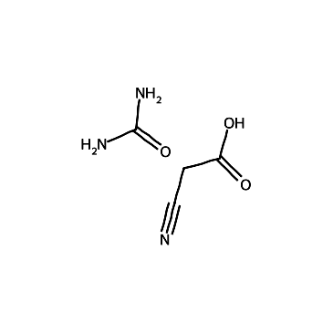 N#CCC(=O)O.NC(N)=O